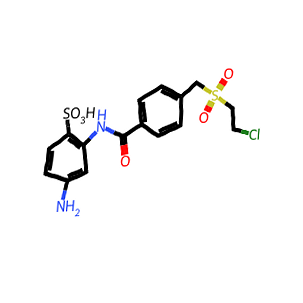 Nc1ccc(S(=O)(=O)O)c(NC(=O)c2ccc(CS(=O)(=O)CCCl)cc2)c1